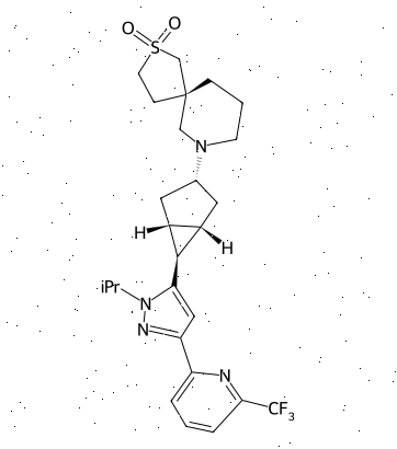 CC(C)n1nc(-c2cccc(C(F)(F)F)n2)cc1[C@H]1[C@@H]2C[C@H](N3CCC[C@]4(CCS(=O)(=O)C4)C3)C[C@@H]21